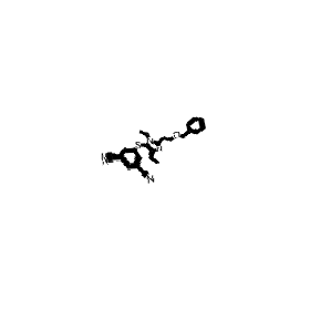 CCc1nc(CCOCc2ccccc2)n(CC)c1Sc1cc(C#N)cc(C#N)c1